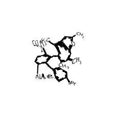 COc1ccc(C(=O)O)c(-c2c(C)c(C)c3oc(C)cc3c2C)c1-c1ccc(C(C)C)cc1